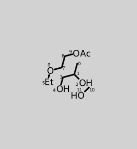 CC(O)CO.CCOCCOC(C)=O.CO